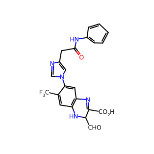 O=CC1Nc2cc(C(F)(F)F)c(-n3cnc(CC(=O)Nc4ccccc4)c3)cc2N=C1C(=O)O